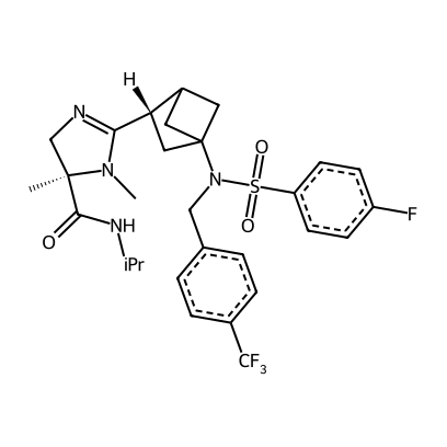 CC(C)NC(=O)[C@@]1(C)CN=C([C@H]2CC3(N(Cc4ccc(C(F)(F)F)cc4)S(=O)(=O)c4ccc(F)cc4)CC2C3)N1C